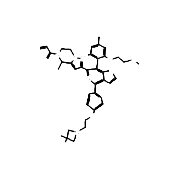 C=CC(=O)N1CCn2nc(-c3nc(-c4ccc(OCCN5CC(F)(F)C5)cc4)c4ccsc4c3-c3c(F)cc(F)cc3OCCOC)cc2C1C